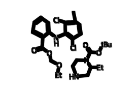 CCC1CNCCN1C(=O)OC(C)(C)C.CCOCOC(=O)c1ccccc1Nc1c(Cl)ccc(C)c1Cl